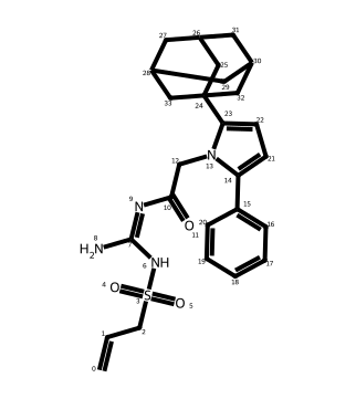 C=CCS(=O)(=O)N/C(N)=N\C(=O)Cn1c(-c2ccccc2)ccc1C12CC3CC(CC(C3)C1)C2